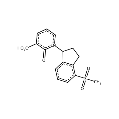 CS(=O)(=O)c1cccc2c1CCC2n1cccc(C(=O)O)c1=O